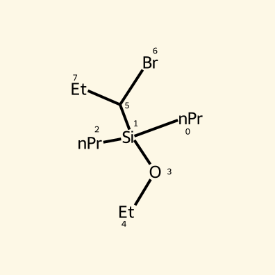 CCC[Si](CCC)(OCC)C(Br)CC